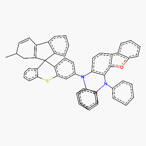 CC1C=CC2=C(C1)C1(c3ccccc3Sc3cc(N(c4ccccc4)c4ccc5c(oc6ccccc65)c4N(c4ccccc4)c4ccccc4)ccc31)c1ccccc12